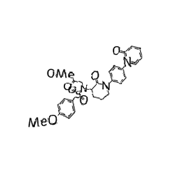 COC(=O)CN(C1CCCN(c2ccc(-n3ccccc3=O)cc2)C1=O)S(=O)(=O)c1ccc(OC)cc1